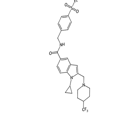 CCS(=O)(=O)c1ccc(CNC(=O)c2ccc3c(c2)cc(CN2CCC(C(F)(F)F)CC2)n3C2CC2)cc1